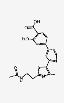 CC(=O)NCCc1nc(C)c(-c2cccc(-c3ccc(C(=O)O)c(O)c3)c2)s1